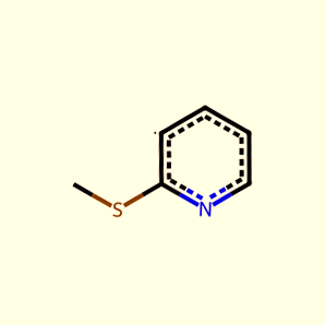 CSc1[c]cccn1